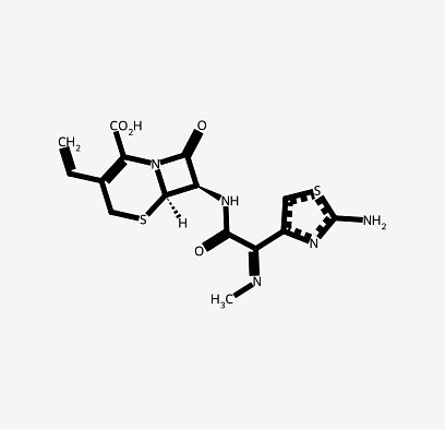 C=CC1=C(C(=O)O)N2C(=O)[C@@H](NC(=O)/C(=N\C)c3csc(N)n3)[C@H]2SC1